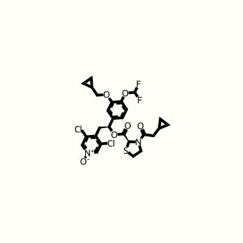 O=C(O[C@@H](Cc1c(Cl)c[n+]([O-])cc1Cl)c1ccc(OC(F)F)c(OCC2CC2)c1)[C@@H]1SCCN1C(=O)CC1CC1